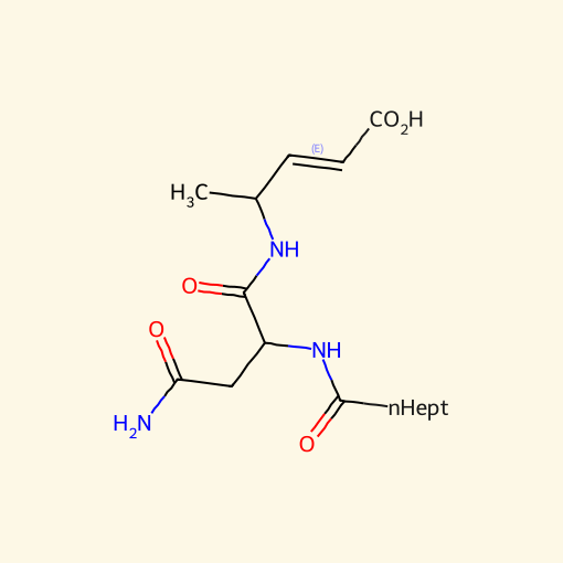 CCCCCCCC(=O)NC(CC(N)=O)C(=O)NC(C)/C=C/C(=O)O